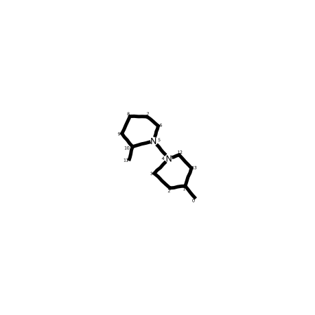 CC1CCN(N2CCCCC2C)CC1